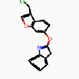 ClCc1coc2cc(OC3=Nc4ccccc4C3)ccc12